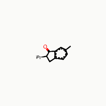 Cc1ccc2c(c1)C(=O)C(C(C)C)C2